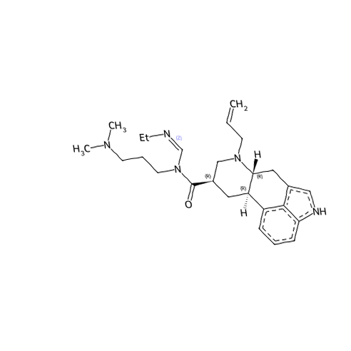 C=CCN1C[C@H](C(=O)N(/C=N\CC)CCCN(C)C)C[C@@H]2c3cccc4[nH]cc(c34)C[C@H]21